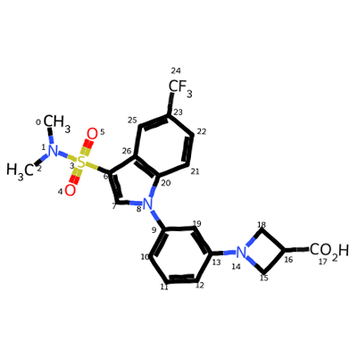 CN(C)S(=O)(=O)c1cn(-c2cccc(N3CC(C(=O)O)C3)c2)c2ccc(C(F)(F)F)cc12